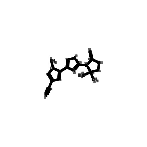 Cn1cc(C#N)cc1-c1csc(N2C(=O)OCC2(C)C)n1